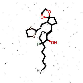 CCCCCCC(F)(CC)C(O)C=CC1CCC2(OCCO2)C1CCC1SCCS1